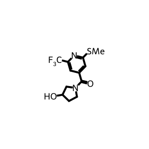 CSc1cc(C(=O)N2CCC(O)C2)cc(C(F)(F)F)n1